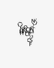 Cc1ccc(C(C)(C)N2CC[C@@](CCc3ccc(F)s3)(C(NC(=O)Nc3ccccc3)(C(F)(F)F)C(F)(F)F)C2)cn1